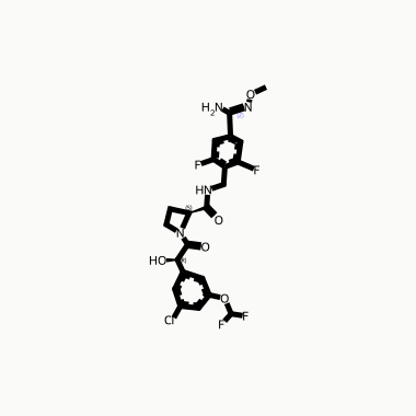 CO/N=C(\N)c1cc(F)c(CNC(=O)[C@@H]2CCN2C(=O)[C@H](O)c2cc(Cl)cc(OC(F)F)c2)c(F)c1